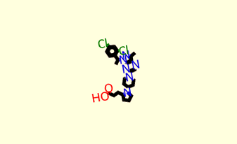 Cc1nn(C(C)c2ccc(Cl)cc2Cl)c2nc(N3CCC(N4CCCC4CCC(=O)O)CC3)cnc12